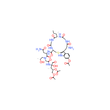 CC[C@H](C)[C@@H]1NC(=O)CNC(=O)[C@H](N)Cc2c([nH]c3cc(OC(C)=O)ccc23)SCC(C(=O)NC(CC(N)=O)C(=O)N(C[C@@H](C)O)[C@@H](C)C(=O)N[C@](O)(C=O)[C@@H](C)[C@H](COC(C)=O)OC(C)=O)NC(=O)CNC1=O